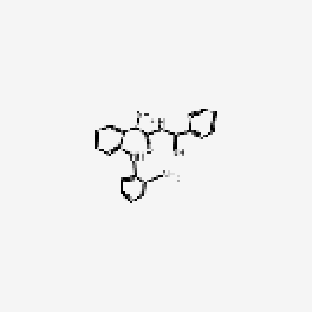 N=C(NC(=O)C(N)c1ccccc1Nc1ccccc1N)c1ccccc1